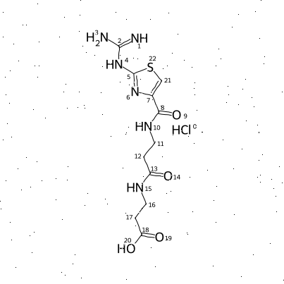 Cl.N=C(N)Nc1nc(C(=O)NCCC(=O)NCCC(=O)O)cs1